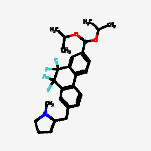 CC(C)OB(OC(C)C)c1ccc2c(c1)C(F)(F)C(F)(F)c1cc(CC3CCCN3C)ccc1-2